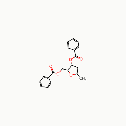 CC1C[C@@H](OC(=O)c2ccccc2)[C@H](COC(=O)c2ccccc2)O1